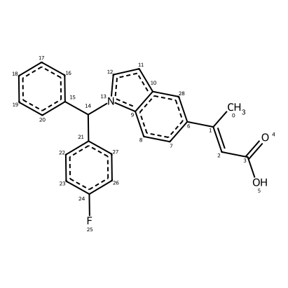 C/C(=C\C(=O)O)c1ccc2c(ccn2C(c2ccccc2)c2ccc(F)cc2)c1